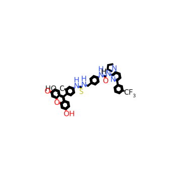 O=C(O)c1cc(NC(=S)NCc2ccc(NC(=O)N3c4nc(-c5cccc(C(F)(F)F)c5)ccc4N4CC[C@H]3C4)cc2)ccc1-c1c2ccc(=O)cc-2oc2cc(O)ccc12